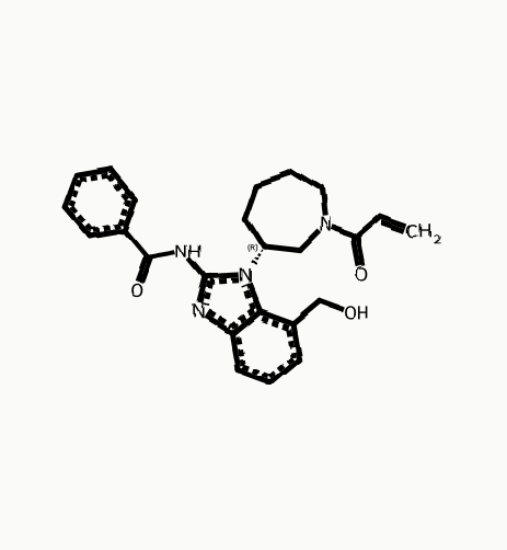 C=CC(=O)N1CCCC[C@@H](n2c(NC(=O)c3ccccc3)nc3cccc(CO)c32)C1